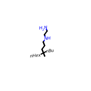 CCCCCCC(C)(CCCC)CCCNCCN